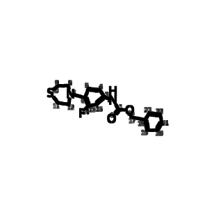 O=C(Nc1ccc(N2CCSCC2)c(F)c1)OCc1ccccc1